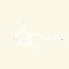 CCOC(=O)CCc1c(Br)cncc1Br